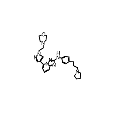 c1cc(-c2cnn(CCN3CCOCC3)c2)n2nc(Nc3ccc(CCCN4CCCC4)cc3)nc2c1